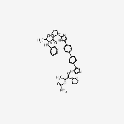 CC(C)[C@H](Nc1cccnc1)C(=O)N1CCC[C@H]1c1ncc(-c2ccc(-c3ccc(-c4cnc([C@@H]5CCCN5C(=O)[C@H](C)OC(N)=O)[nH]4)cc3)cc2)[nH]1